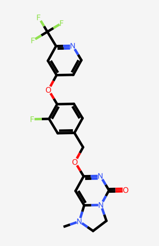 CN1CCn2c1cc(OCc1ccc(Oc3ccnc(C(F)(F)F)c3)c(F)c1)nc2=O